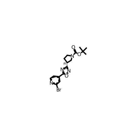 CC(C)(C)OC(=O)N1CC[C@@H](c2noc(-c3ccnc(Br)c3)n2)C1